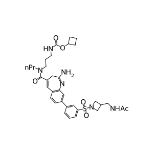 CCCN(CCCNC(=O)OC1CCC1)C(=O)C1=Cc2ccc(-c3cccc(S(=O)(=O)N4CC(CNC(C)=O)C4)c3)cc2N=C(N)C1